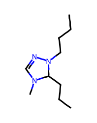 CCCCN1N=CN(C)C1CCC